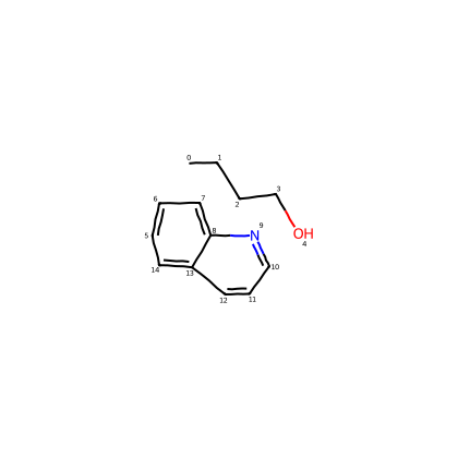 CCCCO.c1ccc2ncccc2c1